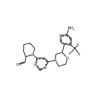 Nc1cc(C(F)(F)F)c(C2CN(c3cc(N4CCCCC4C=O)ncn3)CCO2)cn1